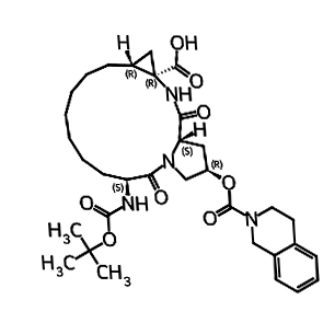 CC(C)(C)OC(=O)N[C@H]1CCCCCCC[C@@H]2C[C@@]2(C(=O)O)NC(=O)[C@@H]2C[C@@H](OC(=O)N3CCc4ccccc4C3)CN2C1=O